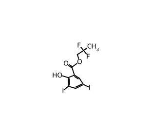 CC(F)(F)COC(=O)c1cc(I)cc(I)c1O